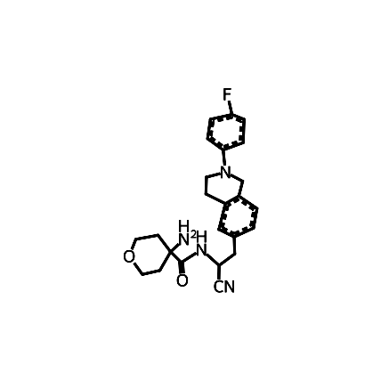 N#CC(Cc1ccc2c(c1)CCN(c1ccc(F)cc1)C2)NC(=O)C1(N)CCOCC1